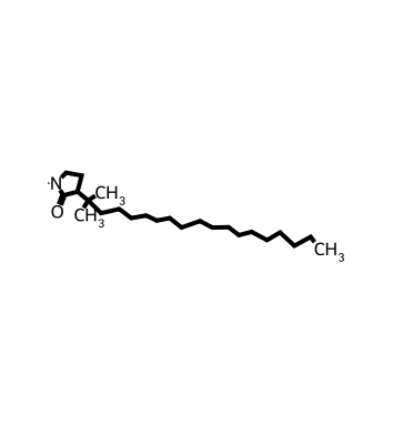 CCCCCCCCCCCCCCCCCC(C)(C)C1CC[N]C1=O